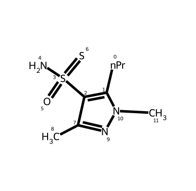 CCCc1c(S(N)(=O)=S)c(C)nn1C